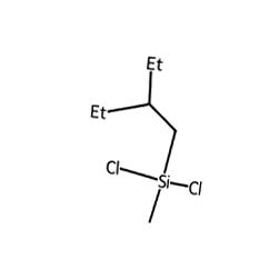 CCC(CC)C[Si](C)(Cl)Cl